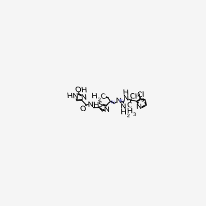 C=C/C(=C\N=C(/N)NC(C)(C)c1ncccc1Cl)c1ncc(CNC(=O)c2c[nH]c(O)n2)s1